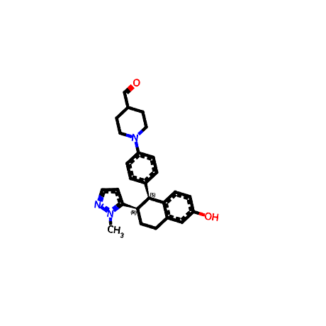 Cn1nccc1[C@@H]1CCc2cc(O)ccc2[C@@H]1c1ccc(N2CCC(C=O)CC2)cc1